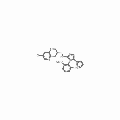 COc1cccc(OC)c1-n1c(NSC2COc3cc(Cl)cnc3C2)nnc1-c1ccco1